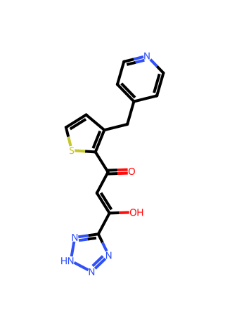 O=C(C=C(O)c1nn[nH]n1)c1sccc1Cc1ccncc1